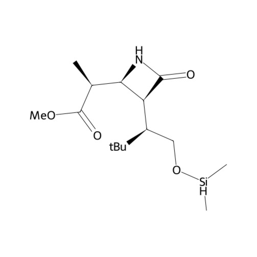 COC(=O)[C@@H](C)[C@H]1NC(=O)[C@H]1[C@@H](CO[SiH](C)C)C(C)(C)C